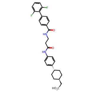 O=C(O)C[C@H]1CC[C@H](c2ccc(NC(=O)CCNC(=O)c3ccc(-c4c(F)cccc4F)cc3)cc2)CC1